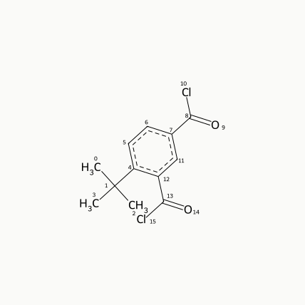 CC(C)(C)c1ccc(C(=O)Cl)cc1C(=O)Cl